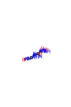 N#Cc1cc(-c2nccc(Nc3ccc(N4CCN(C5COC5)CC4)cc3)n2)ccc1O[C@@H]1CCN(C(=O)c2nc(=O)[nH][nH]2)C1